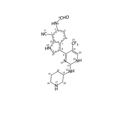 N#Cc1c(NC=O)ccc2c(C3=NC(NC4CCCNC4)NC=C3C(F)(F)F)c[nH]c12